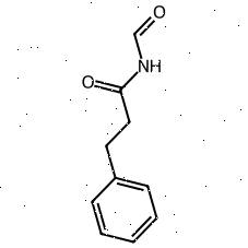 O=CNC(=O)CCc1ccccc1